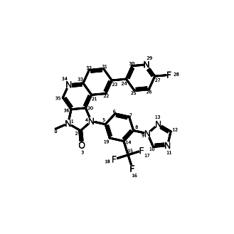 Cn1c(=O)n(-c2ccc(-n3cncn3)c(C(F)(F)F)c2)c2c3cc(-c4ccc(F)nc4)ccc3ncc21